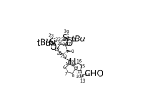 C=C1/C(=C\C=C2/CCC[C@]3(C)[C@@H](C(C)C=O)CC[C@@H]23)C[C@H](O[Si](C)(C)C(C)(C)C)C[C@@H]1O[Si](C)(C)C(C)(C)C